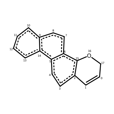 C1=Cc2ccc3c(ccc4ccccc43)c2OC1